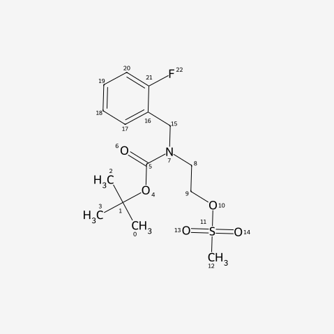 CC(C)(C)OC(=O)N(CCOS(C)(=O)=O)Cc1ccccc1F